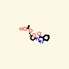 C=C(O)OC[C@@H]1CC[C@H](n2cnc3ccccc3c2=O)O1